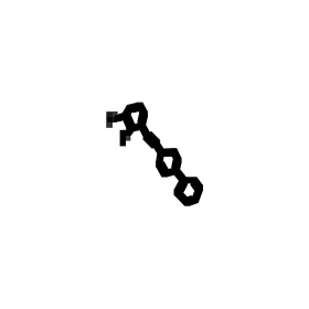 Fc1cccc(C#Cc2ccc(-c3ccccc3)cc2)c1F